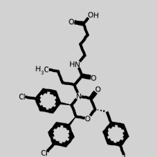 CCCC(C(=O)NCCCC(=O)O)N1C(=O)[C@H](Cc2ccc(I)cc2)O[C@@H](c2ccc(Cl)cc2)[C@H]1c1ccc(Cl)cc1